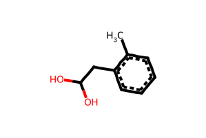 Cc1ccccc1CC(O)O